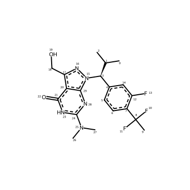 CC(C)[C@@H](c1ccc(C(C)(F)F)c(F)c1)n1nc(CO)c2c(=O)[nH]c(N(C)C)nc21